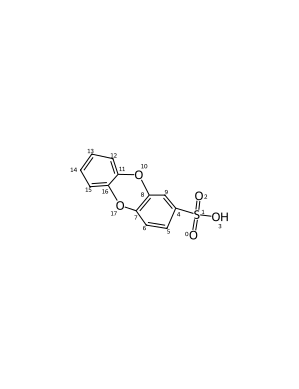 O=S(=O)(O)c1ccc2c(c1)Oc1ccccc1O2